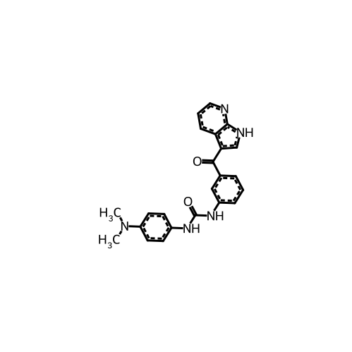 CN(C)c1ccc(NC(=O)Nc2cccc(C(=O)c3c[nH]c4ncccc34)c2)cc1